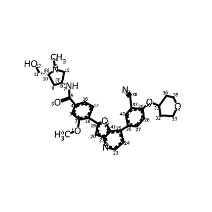 COc1cc(C(=O)N[C@@H]2C[C@H](CO)N(C)C2)ccc1-c1cc2nccc(-c3ccc(OC4CCOCC4)c(C#N)c3)c2o1